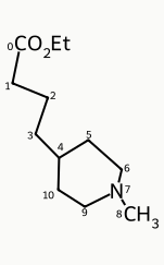 CCOC(=O)CCCC1CCN(C)CC1